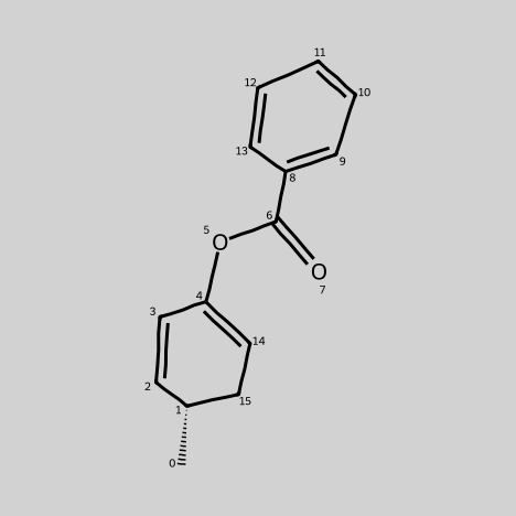 C[C@@H]1C=CC(OC(=O)c2ccccc2)=CC1